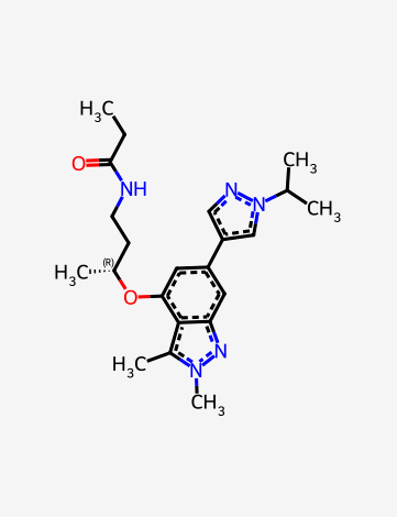 CCC(=O)NCC[C@@H](C)Oc1cc(-c2cnn(C(C)C)c2)cc2nn(C)c(C)c12